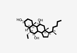 CCCC[C@@H](C)[C@H]1CCC2C3C([C@@H](O)C[C@@]21C)[C@@]1(C)CC[C@@H](O)C[C@H]1[C@@H](CC)[C@H]3O